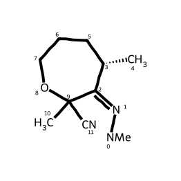 CN/N=C1/[C@@H](C)CCCOC1(C)C#N